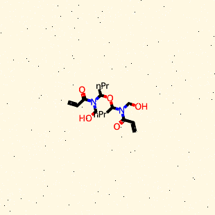 C=CC(=O)N(CO)C(CCC)OC(CCC)N(CO)C(=O)C=C